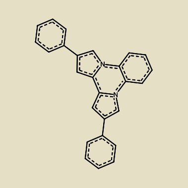 c1ccc(-c2cc3c4cc(-c5ccccc5)cn4c4ccccc4n3c2)cc1